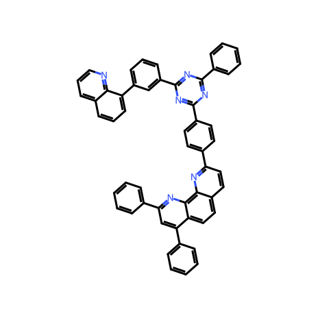 c1ccc(-c2cc(-c3ccccc3)c3ccc4ccc(-c5ccc(-c6nc(-c7ccccc7)nc(-c7cccc(-c8cccc9cccnc89)c7)n6)cc5)nc4c3n2)cc1